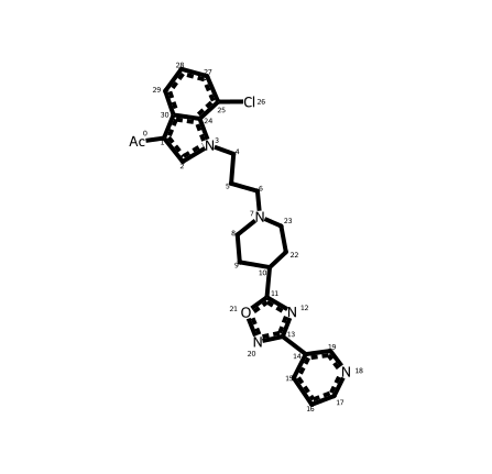 CC(=O)c1cn(CCCN2CCC(c3nc(-c4cccnc4)no3)CC2)c2c(Cl)cccc12